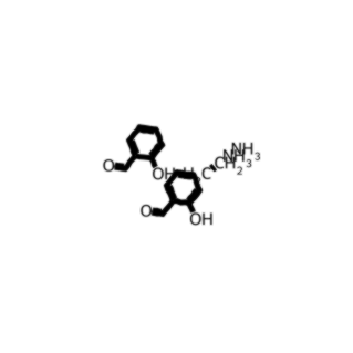 C=C.N.N.O=Cc1ccccc1O.O=Cc1ccccc1O